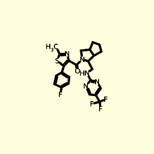 Cc1nc(C(=O)N2CC3CCCC3C2CNc2ncc(C(F)(F)F)cn2)c(-c2ccc(F)cc2)s1